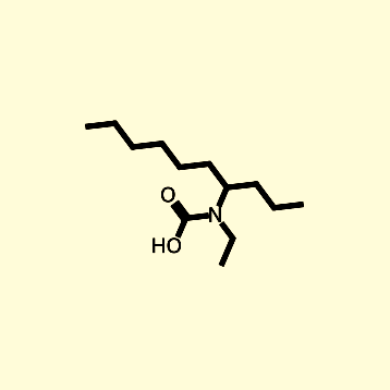 CCCCCCC(CCC)N(CC)C(=O)O